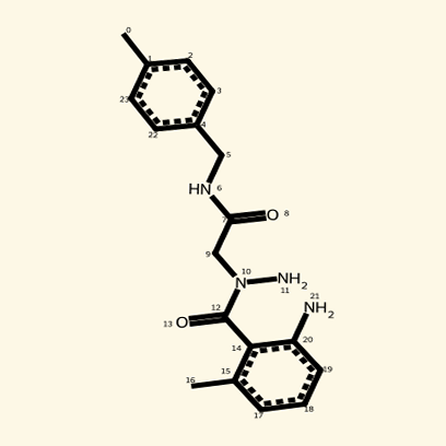 Cc1ccc(CNC(=O)CN(N)C(=O)c2c(C)cccc2N)cc1